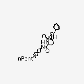 CCCCCN1CC2(CC(NC(=O)C3CC[C@@H]4CN3C(=O)N4OCc3ccccc3)C2)C1